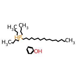 CCCCCCCCCCCCCCCC[PH](CCCC)(CCCC)CCCC.Oc1ccccc1